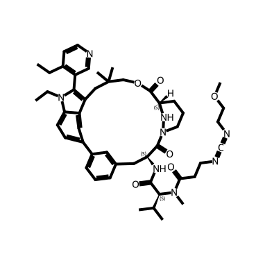 CCc1ccncc1-c1c2c3cc(ccc3n1CC)-c1cccc(c1)C[C@H](NC(=O)[C@H](C(C)C)N(C)C(=O)CCN=C=NCCOC)C(=O)N1CCC[C@H](N1)C(=O)OCC(C)(C)C2